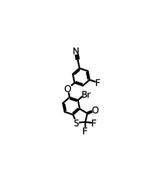 N#Cc1cc(F)cc(Oc2ccc3c(c2Br)C(=O)C(F)(F)S3)c1